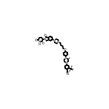 C[C@H]1CN(c2ccc(C#N)c(C(F)(F)F)c2)CCN1c1ccc(OCCCCN2CCN(c3ccc4c(c3)CN(C3CCC(=O)NC3=O)C4=O)CC2)cc1